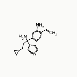 C=Cc1ccc(C(N)(CCC2CC2)c2ccncc2)cc1N